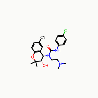 CN(C)CCN(C(=O)Nc1ccc(Cl)cc1)[C@@H]1c2cc(C#N)ccc2OC(C)(C)[C@H]1O